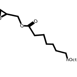 CCCCCCCCCCCCCCC(=O)OCC1CO1